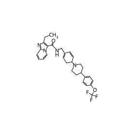 CCc1nc2ccccn2c1C(=O)NCC1=CCC(N2CCC(c3ccc(OC(F)(F)F)cc3)CC2)C=C1